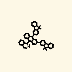 CC1(C)c2ccccc2-c2cc(-c3c4ccccc4c(-c4nccc5ccccc45)c4ccc(-c5ccc6c(c5)C(C)(C)c5ccccc5-6)cc34)ccc21